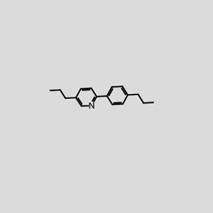 CCCc1ccc(-c2ccc(CCC)cn2)cc1